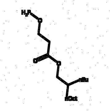 CCCCCCCCC(CCCC)COC(=O)CCOP